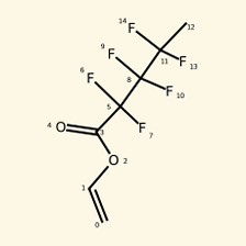 C=COC(=O)C(F)(F)C(F)(F)C(C)(F)F